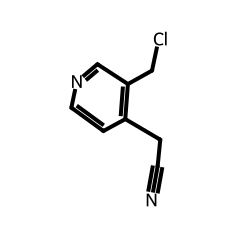 N#CCc1ccncc1CCl